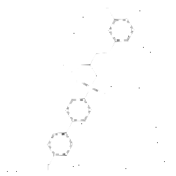 O=C(O)C(COc1cccc(F)c1)CS(=O)(=O)c1ccc(-c2ccc(Cl)cc2)cc1